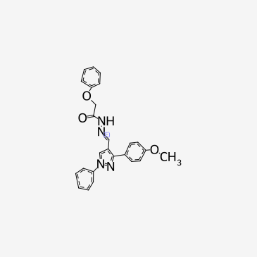 COc1ccc(-c2nn(-c3ccccc3)cc2/C=N/NC(=O)COc2ccccc2)cc1